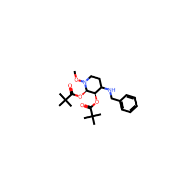 CON1CCC(NCc2ccccc2)[C@@H](OC(=O)C(C)(C)C)[C@H]1OC(=O)C(C)(C)C